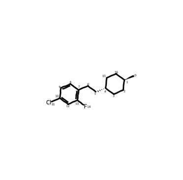 C[C@H]1CC[C@H](CCc2ccc(Cl)cc2F)CC1